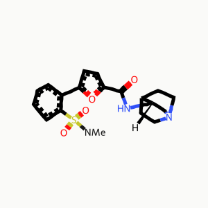 CNS(=O)(=O)c1ccccc1-c1ccc(C(=O)N[C@H]2CN3CCC2CC3)o1